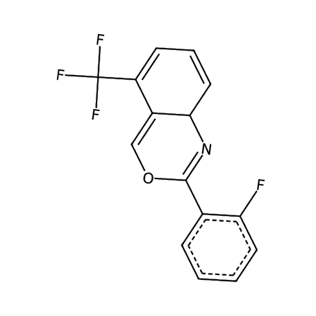 Fc1ccccc1C1=NC2C=CC=C(C(F)(F)F)C2=CO1